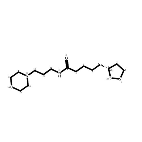 O=C(CCCC[C@@H]1CCSS1)NCCCN1CCOCC1